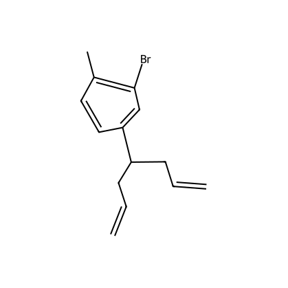 C=CCC(CC=C)c1ccc(C)c(Br)c1